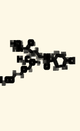 COCCOCOC[C@H](C[C@H](C)C(=O)NO)NC(=O)c1ccc(Cl)cc1